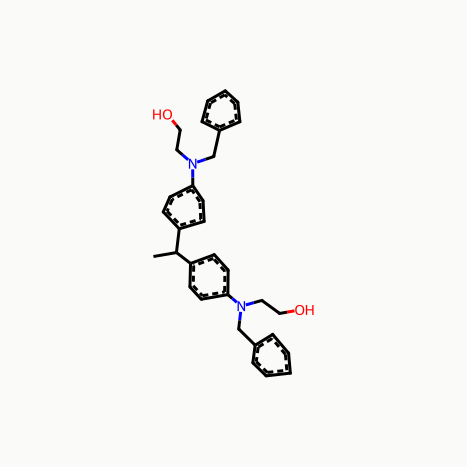 CC(c1ccc(N(CCO)Cc2ccccc2)cc1)c1ccc(N(CCO)Cc2ccccc2)cc1